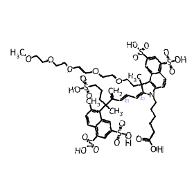 C=C(/C=C/C=C1/N(CCCCCC(=O)O)c2ccc3c(S(=O)(=O)O)cc(S(=O)(=O)O)cc3c2C1(C)CCOCCOCCOCCOCCOC)C(C)(CCCS(=O)(=O)O)c1c(C)ccc2c(S(=O)(=O)O)cc(S(=O)(=O)O)cc12